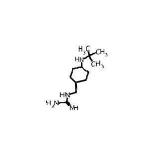 CC(C)(C)NC1CCC(CNC(=N)N)CC1